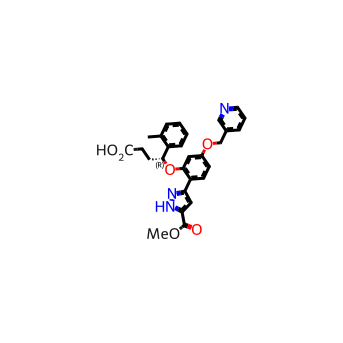 COC(=O)c1cc(-c2ccc(OCc3cccnc3)cc2O[C@H](CCC(=O)O)c2ccccc2C)n[nH]1